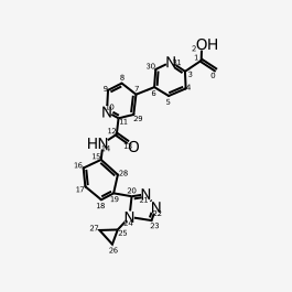 C=C(O)c1ccc(-c2ccnc(C(=O)Nc3cccc(-c4nncn4C4CC4)c3)c2)cn1